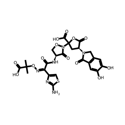 CC(C)(O/N=C(\C(=O)N[C@H]1CON(C2(C(=O)O)C[C@H](N3Cc4cc(O)c(O)cc4C3=O)C(=O)O2)C1=O)c1csc(N)n1)C(=O)O